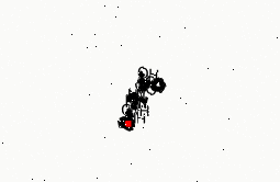 O=C(Nc1ncnc2c1ncn2[C@@H]1O[C@H](CO)C2OC3(CCCCC3)OC21)NC12CC3CC(CC(C3)C1)C2